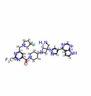 NCC1(n2cc(-c3ncnc4[nH]ccc34)cn2)CN(C2CCN(C(=O)c3cc(CN4CC[C@@H](F)C4)nc(C(F)(F)F)n3)CC2)C1